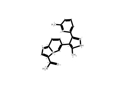 Cc1cccc(-c2n[nH]c(C)c2-c2ccc3ncc(C(N)=O)n3c2)n1